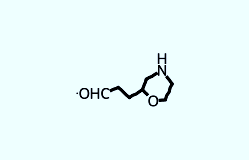 O=[C]CCC1CNCCO1